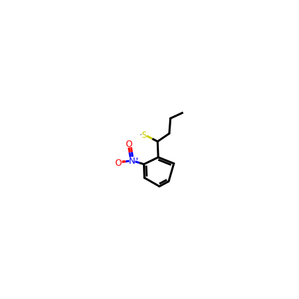 CCCC([S])c1ccccc1[N+](=O)[O-]